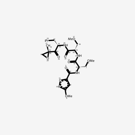 COC[C@H](NC(=O)c1cc(OC)no1)C(=O)N[C@@H](COC)C(=O)N[C@@H](CC(C)C)C(=O)[C@@]1(C)CO1